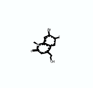 Cn1c(=O)cc(CO)c2cc(F)c(Br)cc21